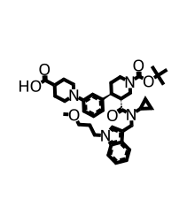 COCCCn1cc(CN(C(=O)[C@H]2CN(C(=O)OC(C)(C)C)CC[C@@H]2c2cccc(N3CCC(C(=O)O)CC3)c2)C2CC2)c2ccccc21